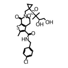 Cc1sc2c(c1C(=O)NCc1ccc(Cl)cc1)CCN(CC1(S(=O)(=O)C(C)(C)[C@H](O)CO)CC1)C2=O